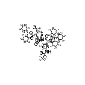 CC(C)(C)OC(=O)Nc1nc(/C(=N/OC(c2ccccc2)(c2ccccc2)c2ccccc2)C(=O)NC2SC3CC(=O)N3C(C(=O)OC(c3ccccc3)c3ccccc3)=C2OS(C)(=O)=O)cs1